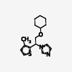 Cc1ccsc1C(COC1CCCCC1)n1ccnc1